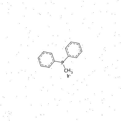 CP(c1ccccc1)c1ccccc1.[Ir]